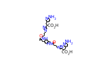 Nc1ccc(CC(C(=O)O)c2cn(CCCC(=O)NCc3ccc(CC4(NC(=O)CCCn5cnc(C(Cc6ccc(N)nc6)C(=O)O)c5)CC4)cc3)cn2)cn1